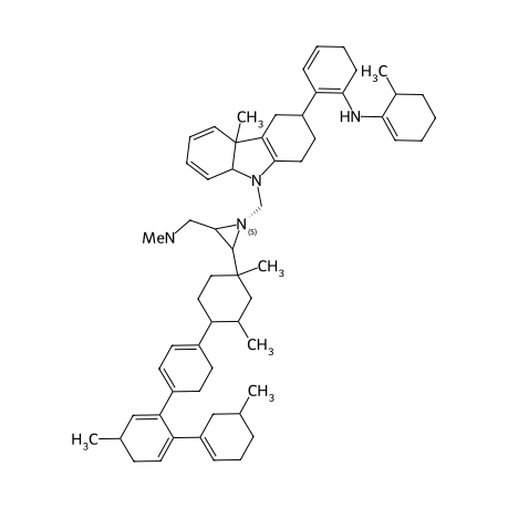 CNCC1C(C2(C)CCC(C3=CC=C(C4=CC(C)CC=C4C4=CCCC(C)C4)CC3)C(C)C2)[N@@]1CN1C2=C(CC(C3=C(NC4=CCCCC4C)CCC=C3)CC2)C2(C)C=CC=CC12